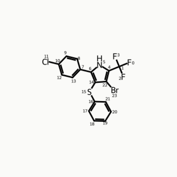 FC(F)(F)c1[nH]c(-c2ccc(Cl)cc2)c(Sc2ccccc2)c1Br